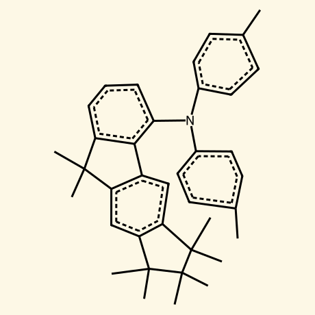 Cc1ccc(N(c2ccc(C)cc2)c2cccc3c2-c2cc4c(cc2C3(C)C)C(C)(C)C(C)(C)C4(C)C)cc1